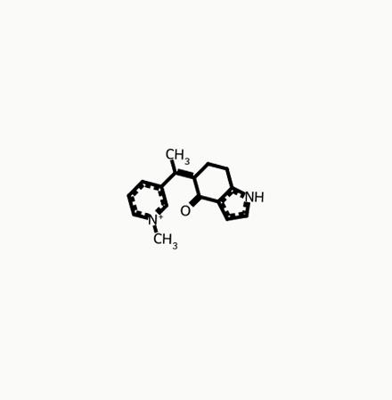 CC(=C1CCc2[nH]ccc2C1=O)c1ccc[n+](C)c1